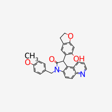 COc1ccc(CN2C(=O)C(c3cc4c(cc3O)OCC4)c3c2ccc2ncccc32)cc1